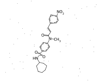 CN(C(=O)/C=C/c1ccc([N+](=O)[O-])cc1)c1ccc(S(=O)(=O)NC2CCCCCC2)cc1